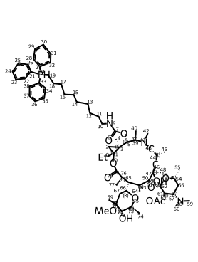 CC[C@@]12C[C@@]1(C)[C@H](OC(=O)NCCCCCCCCCC[PH](c1ccccc1)(c1ccccc1)c1ccccc1)[C@@H](C)N(C)C[C@H](C)C[C@@](C)(O)[C@H](O[C@@H]1O[C@H](C)C[C@H](N(C)C)[C@H]1OC(C)=O)[C@@H](C)C([C@H]1C[C@@](C)(OC)[C@@H](O)[C@H](C)O1)[C@@H](C)C(=O)O2